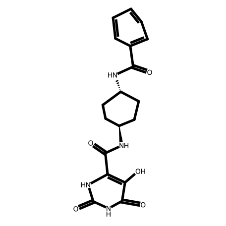 O=C(N[C@H]1CC[C@H](NC(=O)c2[nH]c(=O)[nH]c(=O)c2O)CC1)c1ccccc1